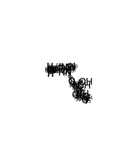 Cc1ccc2c(NCCCCOCC(C)(C)c3cc4cc(NC(=O)C5(c6ccc7c(c6)OC(F)(F)O7)CC5)c(F)cc4n3C[C@@H](O)CO)c(C(=O)N[C@H]3CCc4cc(N5C[C@H]6CC[C@@H](C5)N6)ccc4C3)sc2n1